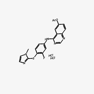 CC(=O)Oc1ccc2ncnc(Nc3ccc(Sc4nccn4C)c(F)c3)c2c1.Cl.Cl